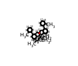 CCC[CH2][Hf]([CH3])([CH3])([CH3])(=[SiH2])([CH]1C=Cc2c(-c3ccccc3C)cccc21)[CH]1C=Cc2c(-c3ccccc3C)cccc21